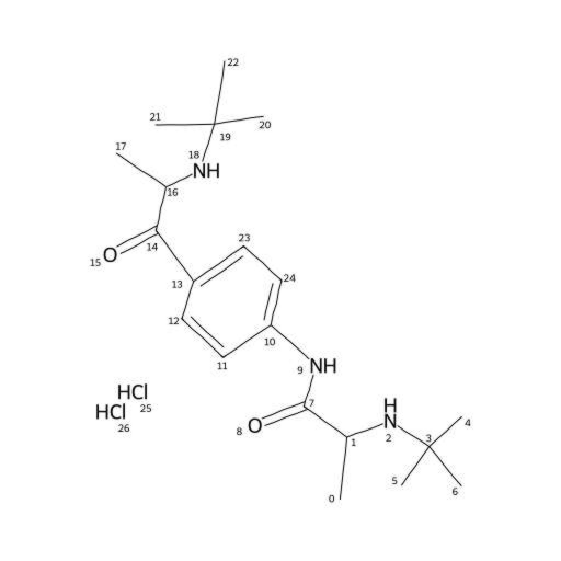 CC(NC(C)(C)C)C(=O)Nc1ccc(C(=O)C(C)NC(C)(C)C)cc1.Cl.Cl